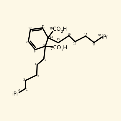 CC(C)CCCCCC1(C(=O)O)C=CC=CC1(CCCCCC(C)C)C(=O)O